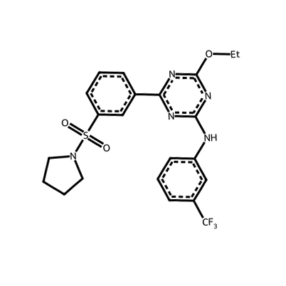 CCOc1nc(Nc2cccc(C(F)(F)F)c2)nc(-c2cccc(S(=O)(=O)N3CCCC3)c2)n1